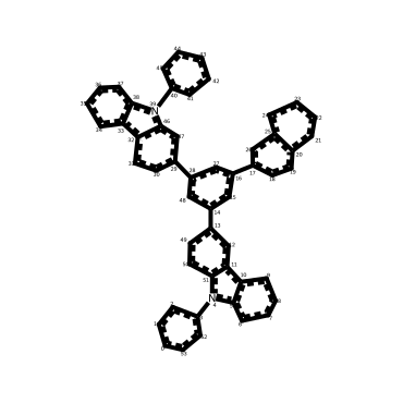 c1ccc(-n2c3ccccc3c3cc(-c4cc(-c5ccc6ccccc6c5)cc(-c5ccc6c7ccccc7n(-c7ccccc7)c6c5)c4)ccc32)cc1